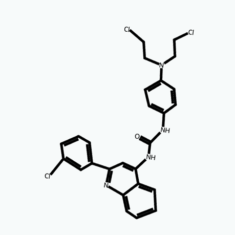 O=C(Nc1ccc(N(CCCl)CCCl)cc1)Nc1cc(-c2cccc(Cl)c2)nc2ccccc12